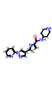 O=C(NC1CCNCC1)c1csc(-c2cnn(-c3ccccn3)c2)n1